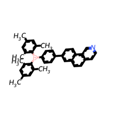 Cc1cc(C)c(B(c2ccc(-c3ccc4c(ccc5ccncc54)c3)cc2)c2c(C)cc(C)cc2C)c(C)c1